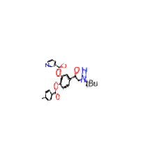 Cc1ccc(C(=O)Oc2ccc(C(=O)CNC(C)(C)C)cc2OC(=O)c2cccnc2)cc1